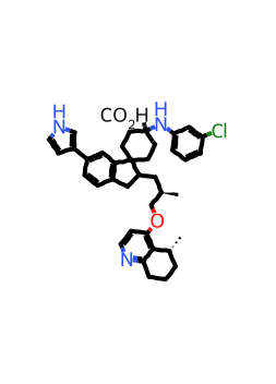 C[C@@H](COc1ccnc2c1[C@H](C)CCC2)CC1Cc2ccc(-c3cc[nH]c3)cc2C12CCC(Nc1cccc(Cl)c1)(C(=O)O)CC2